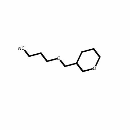 N#CCCCOCC1CCCOC1